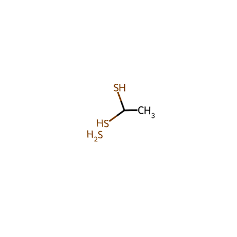 CC(S)S.S